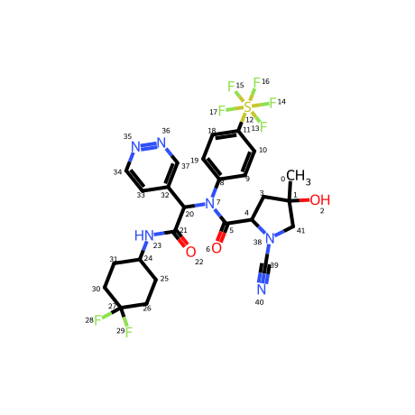 CC1(O)CC(C(=O)N(c2ccc(S(F)(F)(F)(F)F)cc2)C(C(=O)NC2CCC(F)(F)CC2)c2ccnnc2)N(C#N)C1